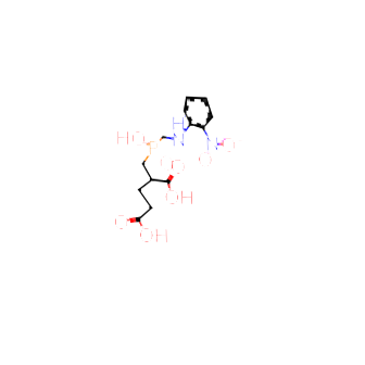 O=C(O)CCC(CP(=O)(O)CNc1ccccc1[N+](=O)[O-])C(=O)O